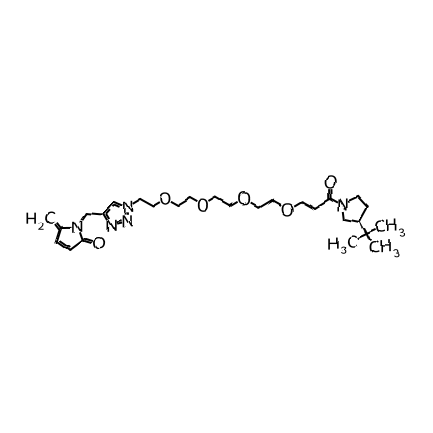 C=C1C=CC(=O)N1Cc1cn(CCOCCOCCOCCOCCC(=O)N2CC[C@@H](C(C)(C)C)C2)nn1